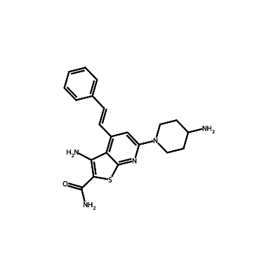 NC(=O)c1sc2nc(N3CCC(N)CC3)cc(/C=C/c3ccccc3)c2c1N